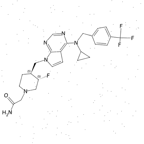 NC(=O)CN1CC[C@@H](Cn2ccc3c(N(Cc4ccc(C(F)(F)F)cc4)C4CC4)ncnc32)[C@H](F)C1